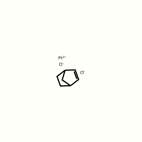 C1=CC2CCC1C2.[Cl-].[Cl-].[Pt+2]